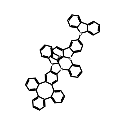 c1ccc2c(c1)-c1ccccc1-c1cc3c(cc1-c1ccccc1-2)n1c2ccccc2nc1n3-c1ccccc1-n1c2ccccc2c2cc(-n3c4ccccc4c4ccccc43)ccc21